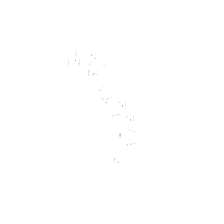 CCNc1nccc(-c2sc(NC(=O)Nc3ccc(CN4CCOCC4)c(C(F)(F)F)c3)nc2C)n1